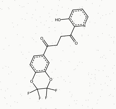 O=C(CCC(=O)c1ncccc1O)c1ccc2c(c1)OC(F)(F)C(F)(F)O2